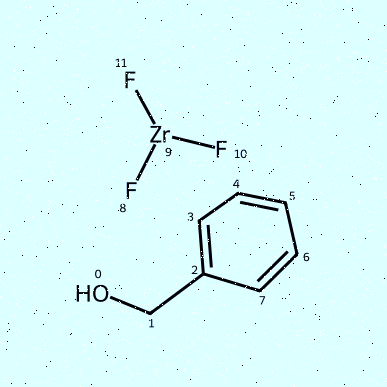 OCc1ccccc1.[F][Zr]([F])[F]